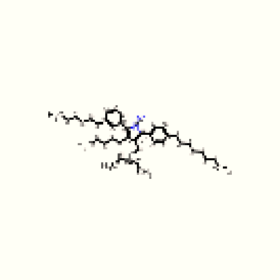 CCCCCCCCc1ccc(C2=C(CC)C(CCCCC)=C(c3cccc(CCCCCC)c3)[N+]2=[N-])cc1.C[CH2][Ni][CH2]C